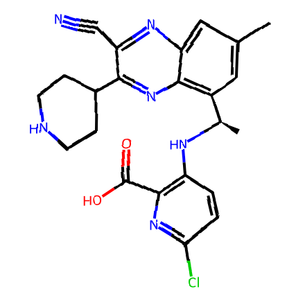 Cc1cc([C@@H](C)Nc2ccc(Cl)nc2C(=O)O)c2nc(C3CCNCC3)c(C#N)nc2c1